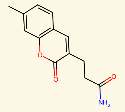 Cc1ccc2cc(CCC(N)=O)c(=O)oc2c1